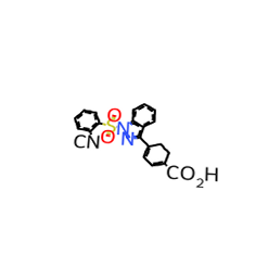 N#Cc1ccccc1S(=O)(=O)n1nc(C2=CC=C(C(=O)O)CC2)c2ccccc21